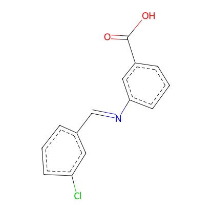 O=C(O)c1cccc(N=Cc2cccc(Cl)c2)c1